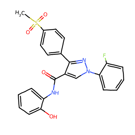 CS(=O)(=O)c1ccc(-c2nn(-c3ccccc3F)cc2C(=O)Nc2ccccc2O)cc1